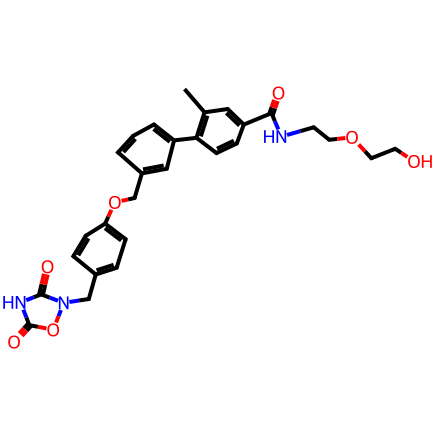 Cc1cc(C(=O)NCCOCCO)ccc1-c1cccc(COc2ccc(Cn3oc(=O)[nH]c3=O)cc2)c1